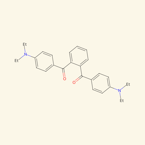 CCN(CC)c1ccc(C(=O)c2ccccc2C(=O)c2ccc(N(CC)CC)cc2)cc1